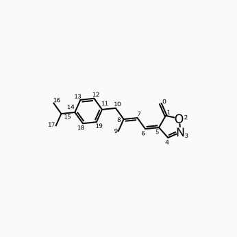 C=c1onc/c1=C/C=C(\C)Cc1ccc(C(C)C)cc1